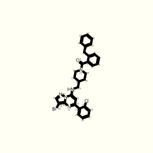 O=C(c1ccccc1Cc1ccccc1)N1CCC(CNc2cc(-c3ccccc3Cl)nc3c(Br)cnn23)CC1